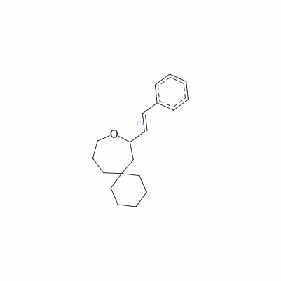 C(=C\C1CC2(CCCCC2)CCCO1)/c1ccccc1